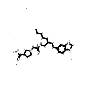 CCCCCC(CCc1ccc2c(c1)OCO2)CNC(=O)CN1CCC(C(=O)O)C1